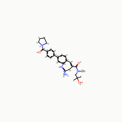 CCCN(CC(C)(C)O)C(=O)C1=Cc2ccc(-c3ccc(C(=O)N4CCCC4)cc3)cc2N=C(N)C1